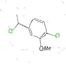 COc1cc(C(C)Cl)ccc1Cl